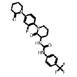 O=C(Nc1ccc(C(F)(F)F)cc1)NC1CCCN(c2ccc(N3CCCCC3=O)cc2F)C1=O